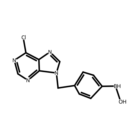 OBc1ccc(Cn2cnc3c(Cl)ncnc32)cc1